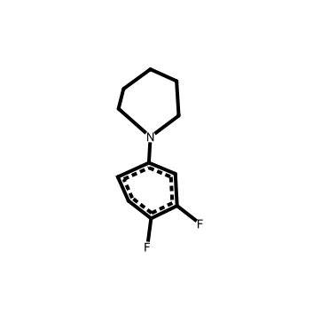 Fc1ccc(N2CCCCC2)cc1F